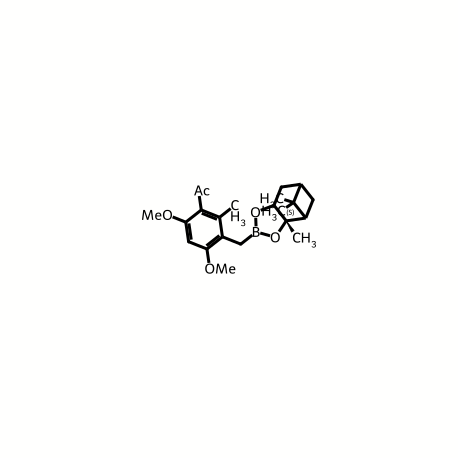 COc1cc(OC)c(C(C)=O)c(C)c1CB1OC2CC3CC(C3(C)C)[C@]2(C)O1